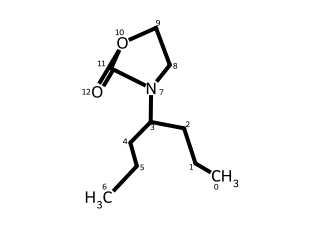 CCCC(CCC)N1CCOC1=O